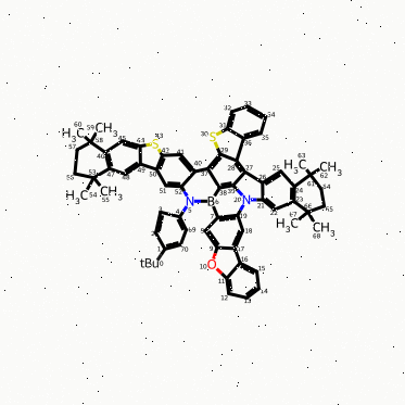 CC(C)(C)c1ccc(N2B3c4cc5oc6ccccc6c5cc4-n4c5cc6c(cc5c5c7c(sc8ccccc87)c(c3c54)-c3cc4sc5cc7c(cc5c4cc32)C(C)(C)CCC7(C)C)C(C)(C)CCC6(C)C)cc1